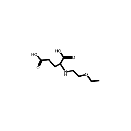 CCOCCNC(CCC(=O)O)C(=O)O